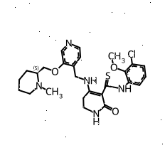 COc1c(Cl)cccc1NC(=S)C1=C(NCc2ccncc2OC[C@@H]2CCCCN2C)CCNC1=O